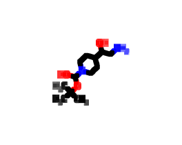 CC(C)(C)OC(O)N1CCC(C(O)CN)CC1